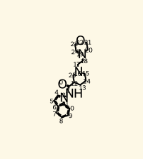 O=C(Nn1ccc2ccccc21)C1CCCN(CCN2CCOCC2)C1